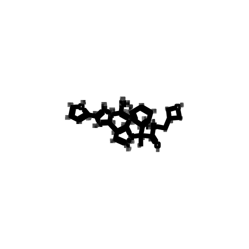 CC(C(=O)NCC1COC1)(c1ccccc1)n1ncc2c1nc(N)n1nc(-c3ccco3)nc21